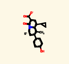 Cc1c(-c2ccc(O)cc2)ccn2c(=O)c(C(=O)[O-])cc(C3CC3)c12.[K+]